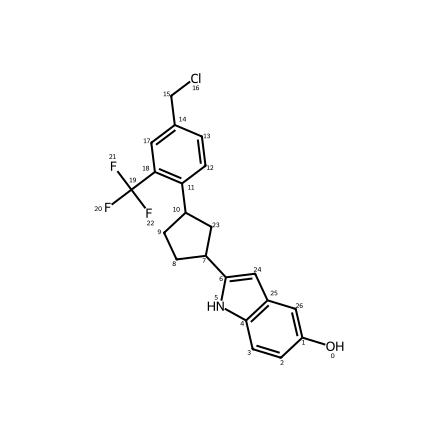 Oc1ccc2[nH]c(C3CCC(c4ccc(CCl)cc4C(F)(F)F)C3)cc2c1